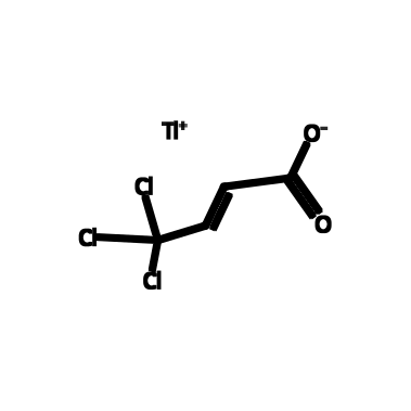 O=C([O-])C=CC(Cl)(Cl)Cl.[Tl+]